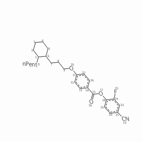 CCCCCC1CCCCC1CCCOc1ccc(C(=O)Oc2ccc(C#N)cc2F)cc1